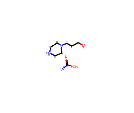 NC(=O)O.OCCCN1CCNCC1